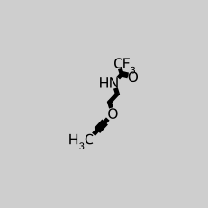 CC#COCCNC(=O)C(F)(F)F